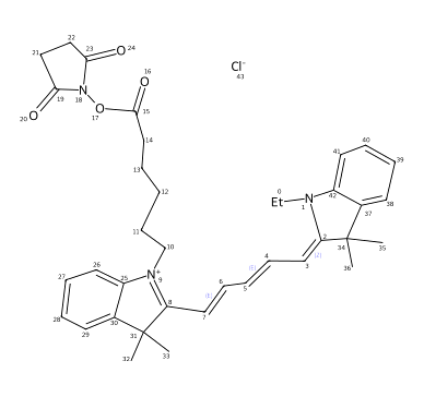 CCN1\C(=C/C=C/C=C/C2=[N+](CCCCCC(=O)ON3C(=O)CCC3=O)c3ccccc3C2(C)C)C(C)(C)c2ccccc21.[Cl-]